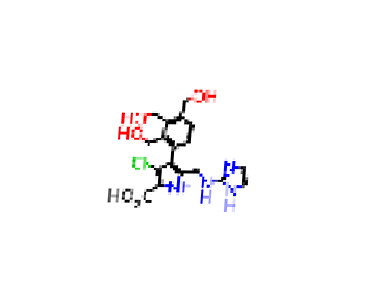 O=C(O)c1[nH]c(CNc2ncc[nH]2)c(-c2ccc(CO)c(CO)c2CO)c1Cl